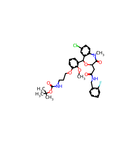 COc1c(OCCCNC(=O)OC(C)(C)C)cccc1C1OC(CC(=O)NCc2ccccc2F)C(=O)N(C)c2ccc(Cl)cc21